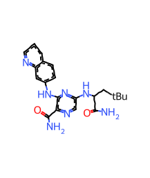 CC(C)(C)CC(Nc1cnc(C(N)=O)c(Nc2ccc3cccnc3c2)n1)C(N)=O